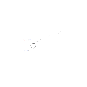 CCCCCCCCCCCCc1ccc(CN=C=O)cc1N=C=O